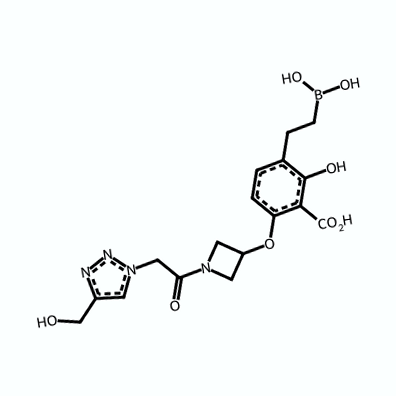 O=C(O)c1c(OC2CN(C(=O)Cn3cc(CO)nn3)C2)ccc(CCB(O)O)c1O